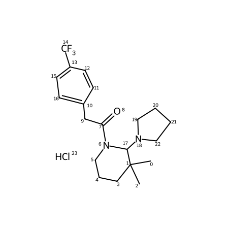 CC1(C)CCCN(C(=O)Cc2ccc(C(F)(F)F)cc2)C1N1CCCC1.Cl